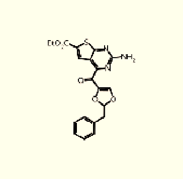 CCOC(=O)c1cc2c(C(=O)C3=COC(Cc4ccccc4)O3)nc(N)nc2s1